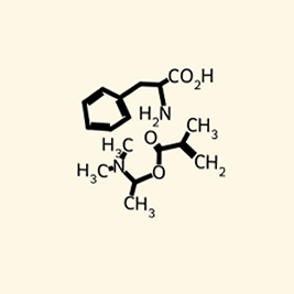 C=C(C)C(=O)OC(C)N(C)C.NC(Cc1ccccc1)C(=O)O